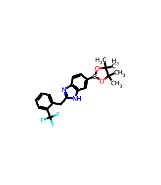 CC1(C)OB(c2ccc3nc(Cc4ccccc4C(F)(F)F)[nH]c3c2)OC1(C)C